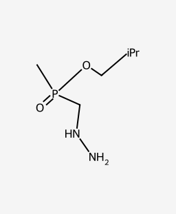 CC(C)COP(C)(=O)CNN